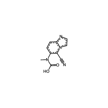 CN(C(=O)O)c1ccc2nccn2c1C#N